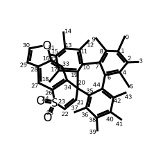 Cc1c(C)c(C)c2c(c1C)-c1c(C)c(C)c(C)c(C)c1C1(C=CS(=O)(=O)c3cc4ccoc4cc31)c1c(C)c(C)c(C)c(C)c1-2